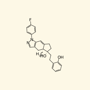 C[C@]12Cc3cnn(-c4ccc(F)cc4)c3C=C1CC[C@@]2(O)CCc1ccccc1O